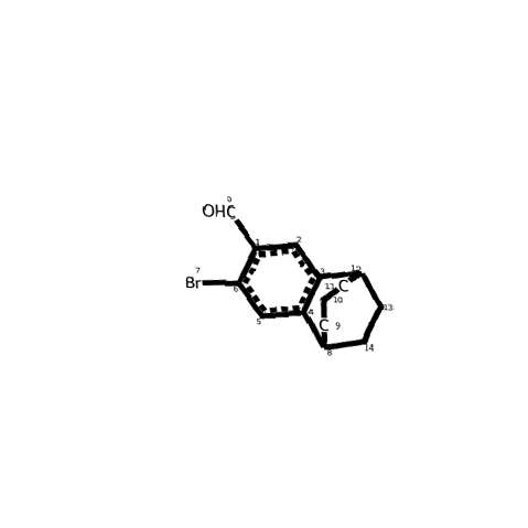 O=Cc1cc2c(cc1Br)C1CCCC2CC1